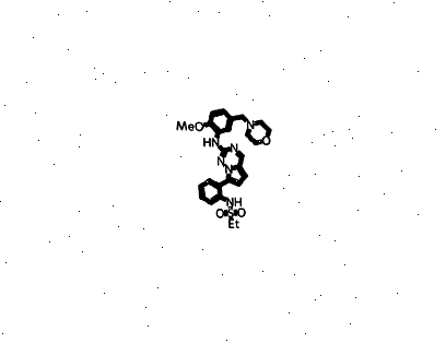 CCS(=O)(=O)Nc1ccccc1-c1ccc2cnc(Nc3cc(CN4CCOCC4)ccc3OC)nn12